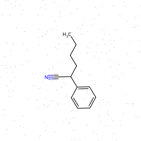 CCCCC(C#N)c1ccccc1